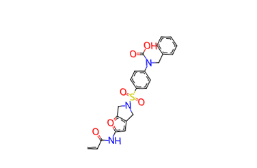 C=CC(=O)Nc1cc2c(o1)CN(S(=O)(=O)c1ccc(N(Cc3ccccc3)C(=O)O)cc1)C2